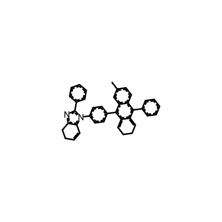 Cc1ccc2c(-c3ccccc3)c3c(c(-c4ccc(-n5c(-c6ccccc6)nc6c5C=CCC6)cc4)c2c1)=CCCC=3